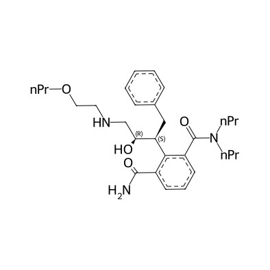 CCCOCCNC[C@H](O)[C@@H](Cc1ccccc1)c1c(C(N)=O)cccc1C(=O)N(CCC)CCC